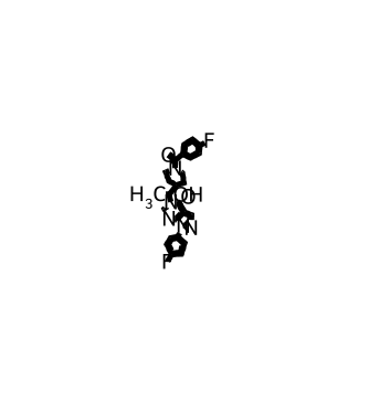 CC(n1cnc2c(cnn2-c2ccc(F)cc2)c1=O)C1(O)CCN(C(=O)c2ccc(F)cc2)CC1